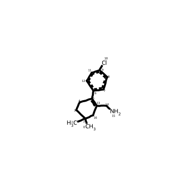 CC1(C)CCC(c2ccc(Cl)cc2)=C(CN)C1